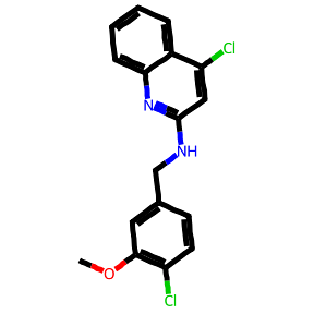 COc1cc(CNc2cc(Cl)c3ccccc3n2)ccc1Cl